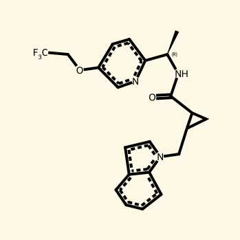 C[C@@H](NC(=O)C1CC1Cn1ccc2ccccc21)c1ccc(OCC(F)(F)F)cn1